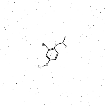 FC(F)Oc1ccc(OC(F)(F)F)cc1Br